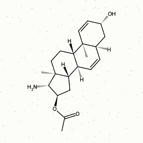 CC(=O)O[C@@H]1C[C@H]2[C@@H]3C=C[C@@H]4C[C@@H](O)C=C[C@]4(C)[C@H]3CC[C@]2(C)[C@H]1N